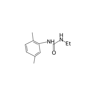 CCNC(=O)Nc1cc(C)ccc1C